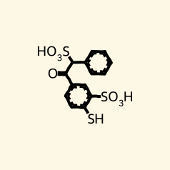 O=C(c1ccc(S)c(S(=O)(=O)O)c1)C(c1ccccc1)S(=O)(=O)O